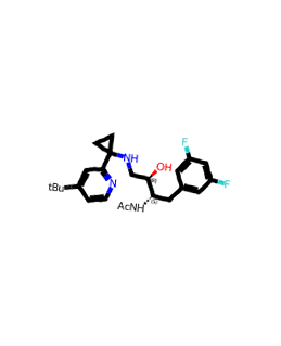 CC(=O)N[C@@H](Cc1cc(F)cc(F)c1)[C@H](O)CNC1(c2cc(C(C)(C)C)ccn2)CC1